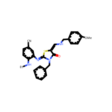 CCNc1ccc(C#N)cc1N=C1SC(=CNCc2ccc(OC)cc2)C(=O)N1Cc1ccccc1